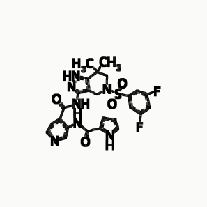 CC1(C)CN(S(=O)(=O)c2cc(F)cc(F)c2)Cc2c(NC(=O)c3ccncc3NC(=O)c3ccc[nH]3)n[nH]c21